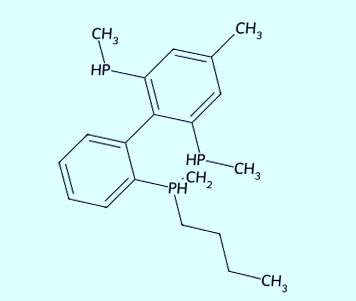 C=[PH](CCCC)c1ccccc1-c1c(PC)cc(C)cc1PC